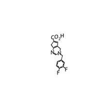 O=C(O)C1=CC2=C(C1)N=CN(Cc1ccc(F)c(F)c1)C2